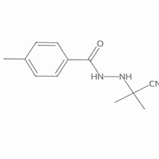 Cc1ccc(C(=O)NNC(C)(C)C#N)cc1